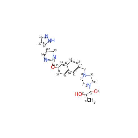 CC(O)C(=O)N1CCN(Cc2ccc3cc(Oc4ncc(-c5ccn[nH]5)cn4)ccc3c2)CC1